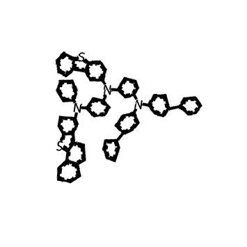 c1ccc(-c2ccc(N(c3ccc(-c4ccccc4)cc3)c3cccc(N(c4cccc(N(c5ccccc5)c5ccc6sc7c8ccccc8ccc7c6c5)c4)c4ccc5sc6ccccc6c5c4)c3)cc2)cc1